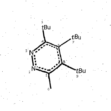 Cc1nnc(C(C)(C)C)c(C(C)(C)C)c1C(C)(C)C